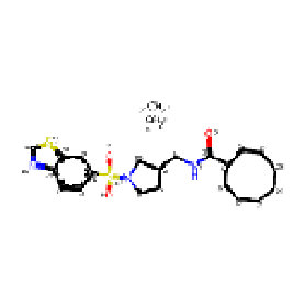 O=C(NCC1CCN(S(=O)(=O)c2ccc3ncsc3c2)C1)[C]1CCCCCCC1.[CH2].[CH2]